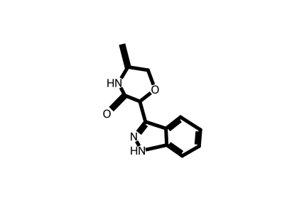 C=C1COC(c2n[nH]c3ccccc23)C(=O)N1